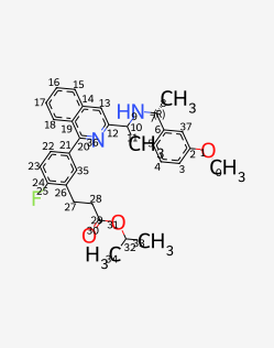 COc1cccc([C@@H](C)NC(C)c2cc3ccccc3c(-c3ccc(F)c(CCC(=O)OC(C)C)c3)n2)c1